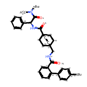 CCCCN(C)C(=O)[C@@H](NC(=O)C12CCC(CNC(=O)c3ccccc3-c3ccc(C(C)(C)C)cc3)(CC1)CC2)c1ccccc1